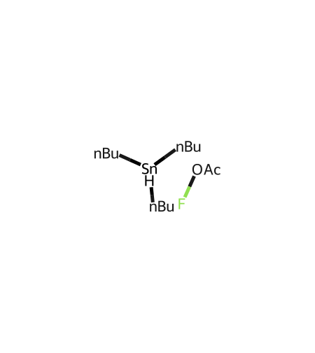 CC(=O)OF.CCC[CH2][SnH]([CH2]CCC)[CH2]CCC